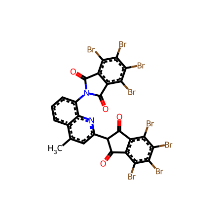 Cc1cc(C2C(=O)c3c(Br)c(Br)c(Br)c(Br)c3C2=O)nc2c(N3C(=O)c4c(Br)c(Br)c(Br)c(Br)c4C3=O)cccc12